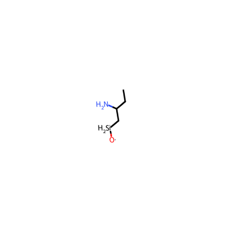 CCC(N)C[SiH2][O]